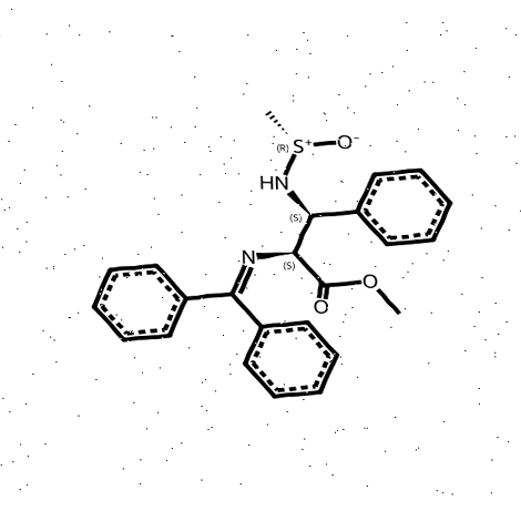 COC(=O)[C@@H](N=C(c1ccccc1)c1ccccc1)[C@@H](N[S@+](C)[O-])c1ccccc1